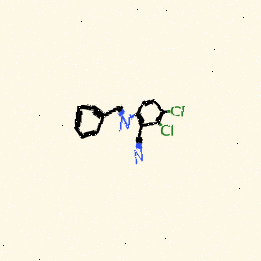 N#Cc1c(N=Cc2ccccc2)ccc(Cl)c1Cl